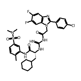 Cc1ccc(S(=O)(=O)N(C)C)cc1NC(=O)[C@@H](CC1CCCCC1)NC(=N)NC(=O)Cn1c(-c2ccc(Cl)cc2)nc2cc(F)c(F)cc21